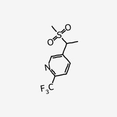 CC(c1ccc(C(F)(F)F)nc1)S(C)(=O)=O